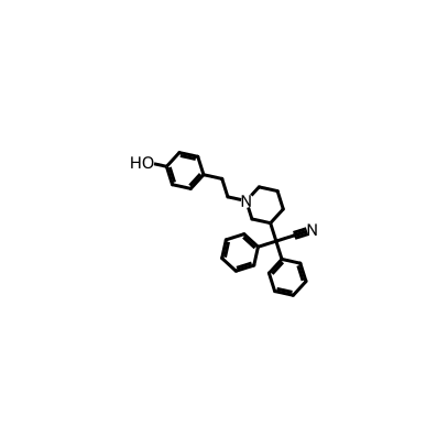 N#CC(c1ccccc1)(c1ccccc1)C1CCCN(CCc2ccc(O)cc2)C1